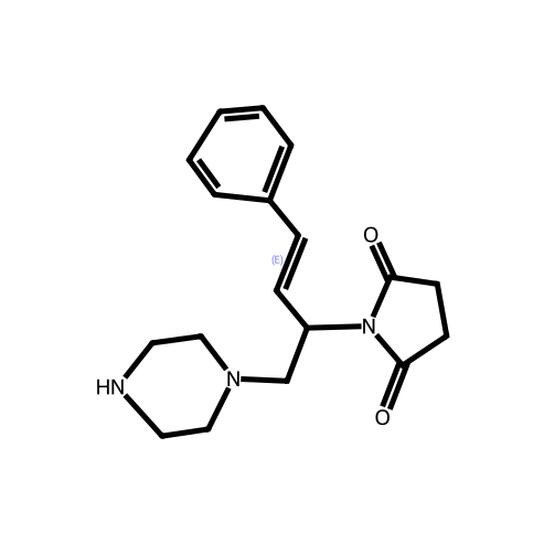 O=C1CCC(=O)N1C(/C=C/c1ccccc1)CN1CCNCC1